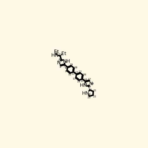 CCN[C@@H](CC)c1ncc(-c2ccc(-c3ccc(-c4cnc([C@@H]5CCCN5)[nH]4)cc3)cc2)[nH]1